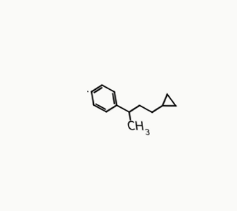 CC(CCC1CC1)c1cc[c]cc1